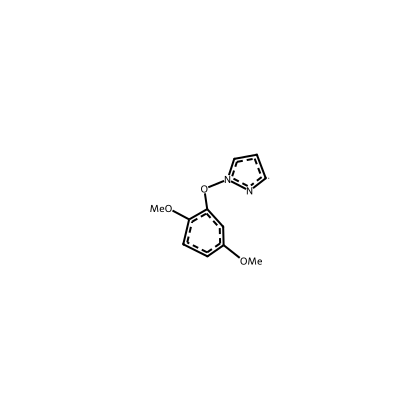 COc1ccc(OC)c(On2cc[c]n2)c1